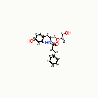 CC(CO)OC[C@@H](Cc1ccc(O)cc1)NC(=O)CCc1ccccc1